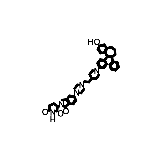 O=C1CC[C@H](N2Cc3cc(N4CCN(CCC5CCN(c6ccc(C7=C(c8ccccc8)CCCc8cc(O)ccc87)cc6)CC5)CC4)ccc3C2=O)C(=O)N1